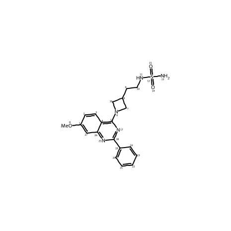 COc1ccc2c(N3CC(CCNS(N)(=O)=O)C3)nc(-c3ccccc3)nc2c1